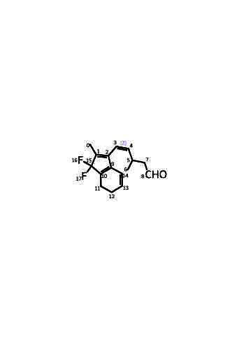 CC1=C(/C=C\C(C)CC=O)C2=C(CCC=C2)C1(F)F